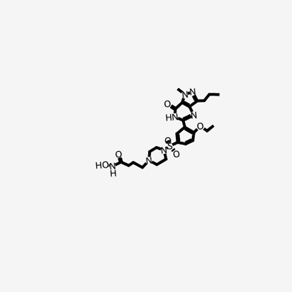 CCCc1nn(C)c2c(=O)[nH]c(-c3cc(S(=O)(=O)N4CCN(CCCC(=O)NO)CC4)ccc3OCC)nc12